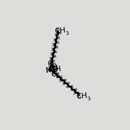 CCCCCCCCCCCCCCOC(=O)/C=C\C(=O)OCCCCCCCCCCCCCC.[NaH]